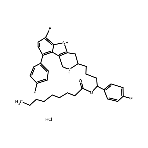 CCCCCCCCC(=O)OC(CCCC1Cc2[nH]c3c(F)ccc(-c4ccc(F)cc4)c3c2CN1)c1ccc(F)cc1.Cl